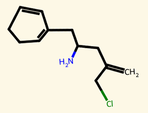 C=C(CCl)CC(N)CC1=CCCC=C1